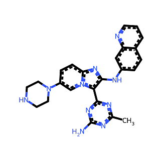 Cc1nc(N)nc(-c2c(Nc3ccc4cccnc4c3)nc3ccc(N4CCNCC4)cn23)n1